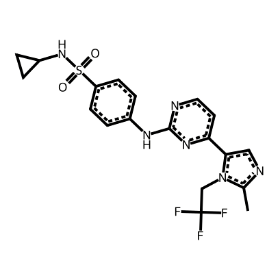 Cc1ncc(-c2ccnc(Nc3ccc(S(=O)(=O)NC4CC4)cc3)n2)n1CC(F)(F)F